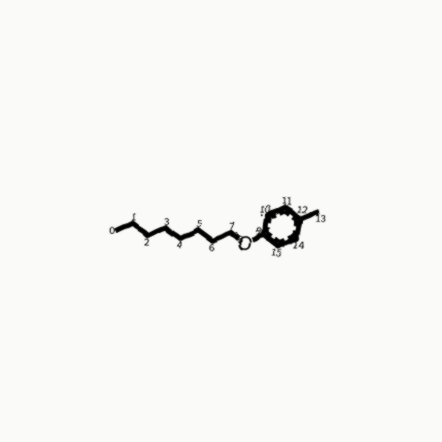 CCCCCCCCOc1[c]cc(C)c[c]1